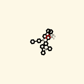 CC1(C)c2ccccc2-c2ccc(N(c3ccc(-c4ccccc4)cc3)c3ccc(-c4ccccc4-n4c5ccccc5c5ccccc54)cc3-c3ccc(-c4ccccc4)cc3)cc21